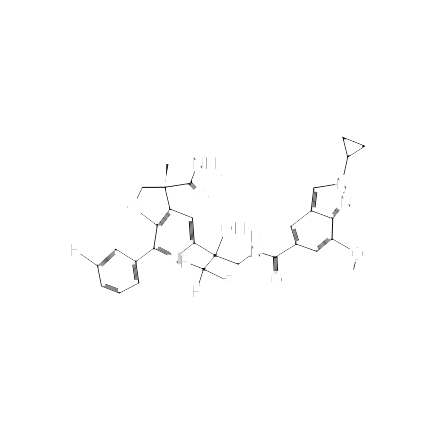 COc1cc(C(=O)NCC(O)(c2cc3c(c(-c4cccc(F)c4)n2)OC[C@]3(C)C(N)=O)C(F)(F)F)cc2cn(C3CC3)nc12